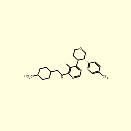 O=C(O)N1CCC(CNc2ncnc(N3CCOC[C@@H]3c3ccc(C(F)(F)F)cn3)c2F)CC1